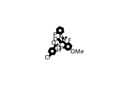 COc1cc(F)c(-c2c(NC(=O)c3ccc(Cl)cc3)c(=O)n(-c3ccccc3F)n2C)c(F)c1